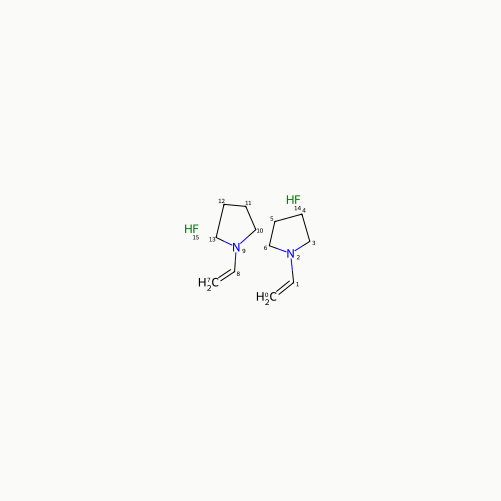 C=CN1CCCC1.C=CN1CCCC1.F.F